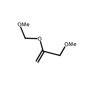 C=C(COC)OCOC